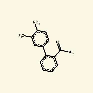 NC(=O)c1ccccc1-c1ccc([N+](=O)[O-])c(C(F)(F)F)c1